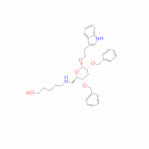 OCCCCCNC[C@H]1O[C@@H](OCCc2c[nH]c3ccccc23)[C@H](OCc2ccccc2)C[C@@H]1OCc1ccccc1